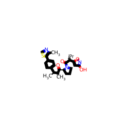 Cc1ncsc1-c1ccc([C@H](C)C(C)C(=O)[C@@H]2CCCN2C(=O)C(c2cc(O)no2)C(C)C)cc1